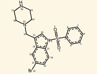 O=S(=O)(c1ccccc1)n1cc(CN2CCNCC2)c2cc(Br)ccc21